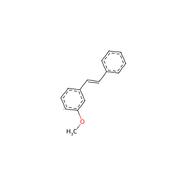 COc1[c]ccc(/C=C/c2ccccc2)c1